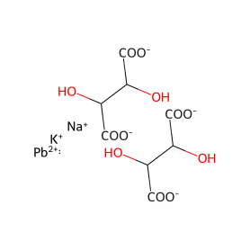 O=C([O-])C(O)C(O)C(=O)[O-].O=C([O-])C(O)C(O)C(=O)[O-].[K+].[Na+].[Pb+2]